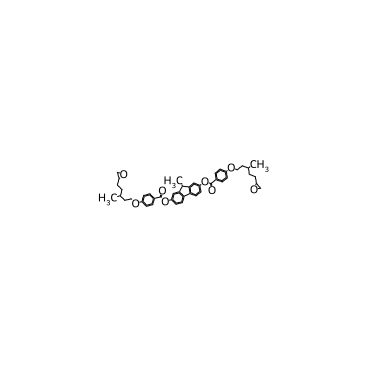 CC(CCOc1ccc(C(=O)Oc2ccc3c(c2)C(C)c2cc(OC(=O)c4ccc(OCCC(C)CCC5CO5)cc4)ccc2-3)cc1)CCC1CO1